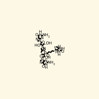 Nc1nc2c(ncn2[C@@H]2O[C@H](Cc3cn([C@H]4[C@@H](O)[C@H](n5cnc6c(=O)[nH]c(N)nc65)O[C@@H]4CO)nn3)[C@@H](OC(=O)CCCC[C@@H]3SC[C@@H]4NC(=O)N[C@@H]43)[C@H]2O)c(=O)[nH]1